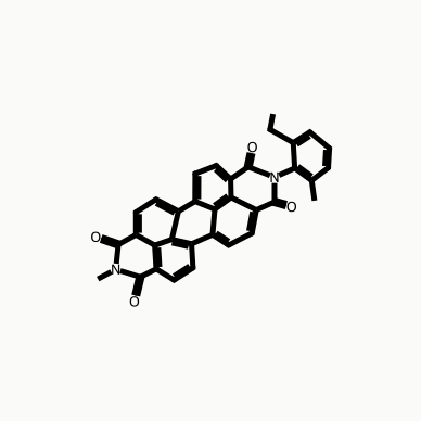 CCc1cccc(C)c1N1C(=O)c2ccc3c4ccc5c6c(ccc(c7ccc(c2c37)C1=O)c64)C(=O)N(C)C5=O